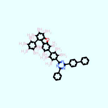 Bc1c(B)c(B)c(-c2c(B)c(B)c(B)c3oc4c(B)c(-c5c(B)c(B)c(-c6nc(-c7ccccc7)nc(-c7ccc(-c8ccccc8)cc7)n6)c(B)c5B)c(B)c(B)c4c23)c(B)c1B